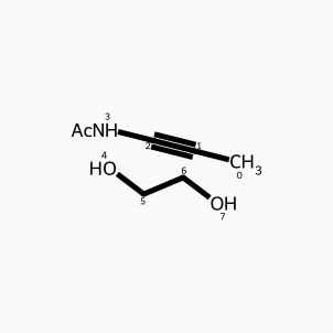 CC#CNC(C)=O.OCCO